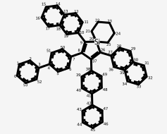 c1ccc(-c2ccc(C3=C(c4ccc5ccccc5c4)[Si]4(CCCCC4)C(c4ccc5ccccc5c4)=C3c3ccc(-c4ccccc4)cc3)cc2)cc1